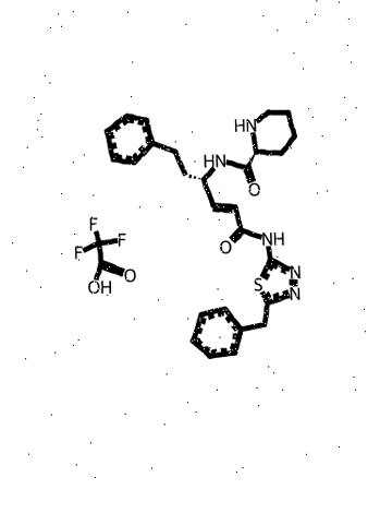 O=C(/C=C/[C@H](CCc1ccccc1)NC(=O)[C@@H]1CCCCN1)Nc1nnc(Cc2ccccc2)s1.O=C(O)C(F)(F)F